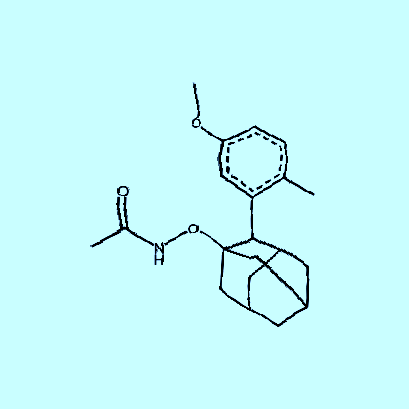 COc1ccc(C)c(C2C3CC4CC(C3)CC2(ONC(C)=O)C4)c1